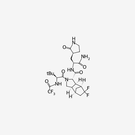 CC(C)(C)[C@H](NC(=O)C(F)(F)F)C(=O)N1C[C@@H]2[C@H]3C[C@@H]([C@@H]2[C@H]1C(=O)N[C@@H](C[C@@H]1CCNC1=O)C(N)=O)C(F)(F)C3